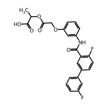 CC(OC(=O)COc1cccc(NC(=O)c2cc(-c3cccc(F)c3)ccc2F)c1)C(=O)O